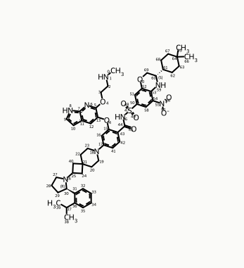 CNCCOc1nc2[nH]ccc2cc1Oc1cc(N2CCC3(CC2)CC(N2CCC[C@@H]2c2ccccc2C(C)C)C3)ccc1C(=O)NS(=O)(=O)c1cc2c(c([N+](=O)[O-])c1)N[C@@H](C1CCC(C)(C)CC1)CO2